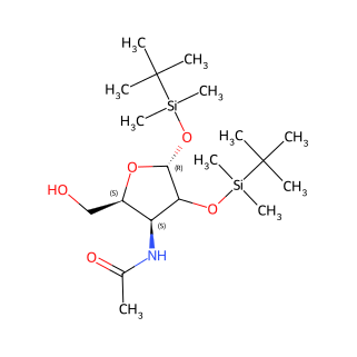 CC(=O)N[C@@H]1C(O[Si](C)(C)C(C)(C)C)[C@@H](O[Si](C)(C)C(C)(C)C)O[C@@H]1CO